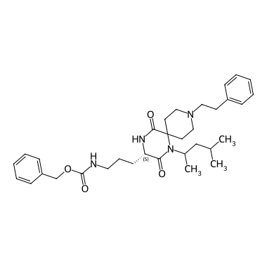 CC(C)CC(C)N1C(=O)[C@H](CCCNC(=O)OCc2ccccc2)NC(=O)C12CCN(CCc1ccccc1)CC2